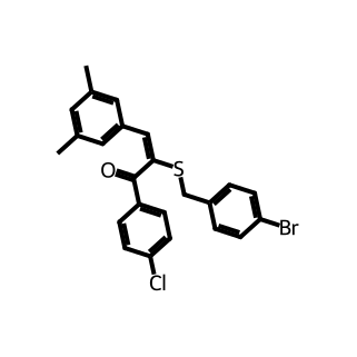 Cc1cc(C)cc(/C=C(/SCc2ccc(Br)cc2)C(=O)c2ccc(Cl)cc2)c1